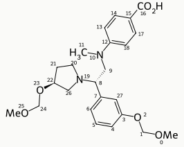 COCOc1cccc([C@@H](CN(C)c2ccc(C(=O)O)cc2)N2CC[C@H](OCOC)C2)c1